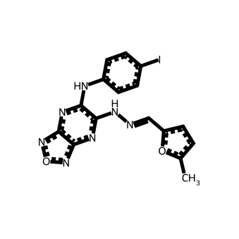 Cc1ccc(C=NNc2nc3nonc3nc2Nc2ccc(I)cc2)o1